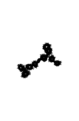 C(=C\c1ccc(N(c2ccc(-c3ccccc3)cc2)c2ccc3ccccc3c2)cc1)/c1ccc(-c2ccc(N(c3ccccc3)c3ccccc3)cc2)cc1